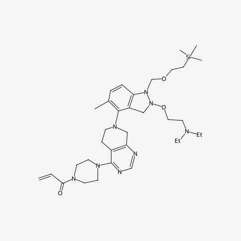 C=CC(=O)N1CCN(c2ncnc3c2CCN(c2c(C)ccc4c2CN(OCCN(CC)CC)N4COCC[Si](C)(C)C)C3)CC1